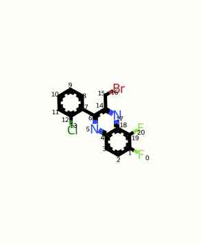 Fc1ccc2nc(-c3ccccc3Cl)c(CBr)nc2c1F